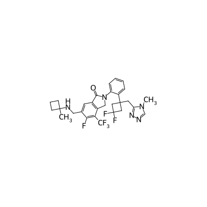 Cn1cnnc1CC1(c2ccccc2N2Cc3c(cc(CNC4(C)CCC4)c(F)c3C(F)(F)F)C2=O)CC(F)(F)C1